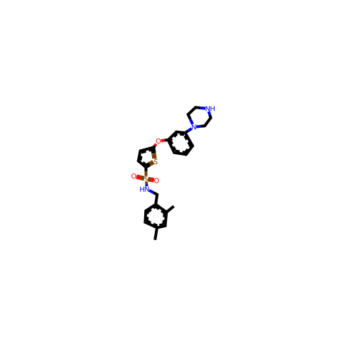 Cc1ccc(CNS(=O)(=O)c2ccc(Oc3cccc(N4CCNCC4)c3)s2)c(C)c1